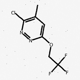 Cc1cc(OCC(F)(F)F)nnc1Cl